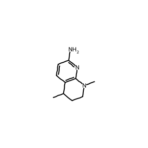 CC1CCN(C)c2nc(N)ccc21